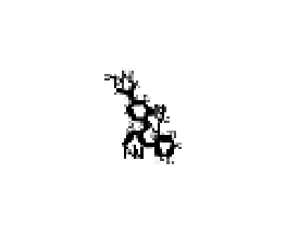 Cn1cc(-c2ccc3c(-c4ccnnc4-c4ccccc4)ncnc3c2)cn1